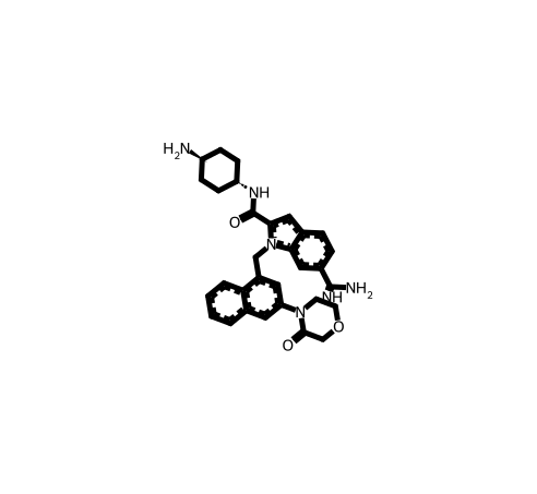 N=C(N)c1ccc2cc(C(=O)N[C@H]3CC[C@H](N)CC3)n(Cc3cc(N4CCOCC4=O)cc4ccccc34)c2c1